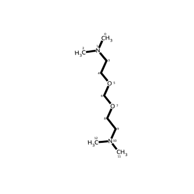 CN(C)CCOCOCCN(C)C